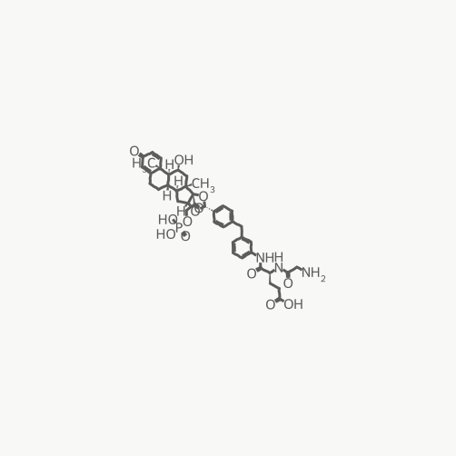 C[C@]12C=CC(=O)C=C1CC[C@@H]1[C@@H]2[C@@H](O)C[C@@]2(C)[C@H]1C[C@H]1O[C@@H](c3ccc(Cc4cccc(NC(=O)[C@H](CCC(=O)O)NC(=O)CN)c4)cc3)O[C@]12C(=O)COP(=O)(O)O